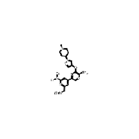 CCN(CC)c1cc(-c2cnc(N)c(Oc3cnn(C4CCN(C)CC4)c3)n2)cc(CNC)n1